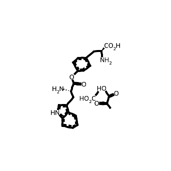 CC(=O)C(=O)O.CC(=O)O.N[C@@H](Cc1ccc(OC(=O)[C@@H](N)Cc2c[nH]c3ccccc23)cc1)C(=O)O